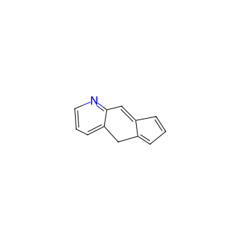 C1=CC2=Cc3ncccc3CC2=C1